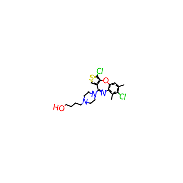 Cc1cc2c(c(C)c1Cl)N=C(N1CCN(CCCCO)CC1)c1csc(Cl)c1O2